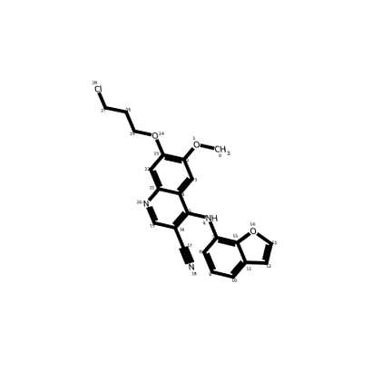 COc1cc2c(Nc3cccc4ccoc34)c(C#N)cnc2cc1OCCCCl